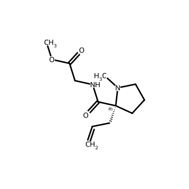 C=CC[C@@]1(C(=O)NCC(=O)OC)CCCN1C